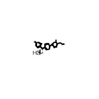 CCCC1CCC(c2ccc(C(OO)c3ccc(C)cc3)cc2)CC1C